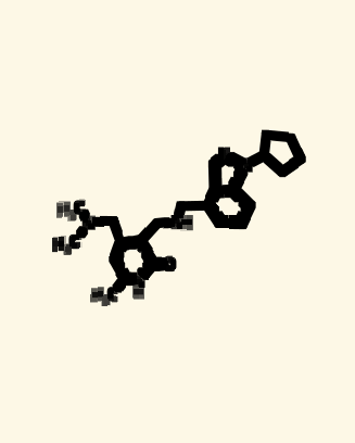 Cc1cc(CN(C)C)c(CNCc2cccc3c2cnn3C2CCCC2)c(=O)[nH]1